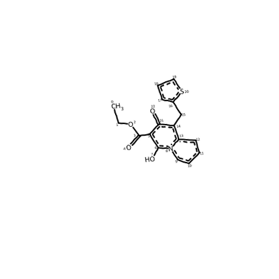 CCOC(=O)c1c(O)n2ccccc2c(Cc2cccs2)c1=O